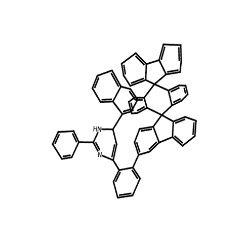 C1=C(c2ccccc2-c2ccc3c(c2)-c2ccccc2C32c3ccccc3C3(c4ccccc4-c4ccccc43)c3ccccc32)N=C(c2ccccc2)NC1c1cccc2ccccc12